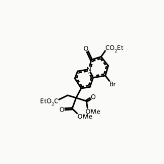 CCOC(=O)CC(C(=O)OC)(C(=O)OC)c1ccn2c(=O)c(C(=O)OCC)cc(Br)c2c1